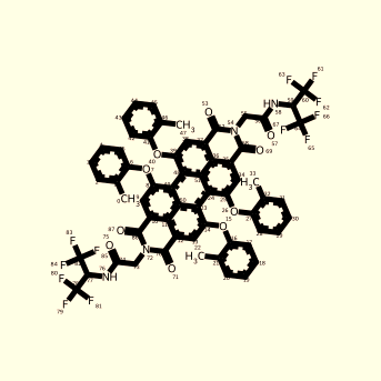 Cc1ccccc1Oc1cc2c3c(cc(Oc4ccccc4C)c4c5c(Oc6ccccc6C)cc6c7c(cc(Oc8ccccc8C)c(c1c34)c75)C(=O)N(CC(=O)NC(C(F)(F)F)C(F)(F)F)C6=O)C(=O)N(CC(=O)NC(C(F)(F)F)C(F)(F)F)C2=O